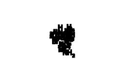 Nc1ncnc2c1ccn2CC(=O)N1[C@@H]2C[C@@H]2C[C@H]1C(=O)Nc1cccc(Br)n1